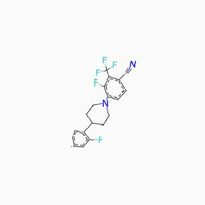 N#Cc1ccc(N2CCC(c3cc[c]cc3F)CC2)c(F)c1C(F)(F)F